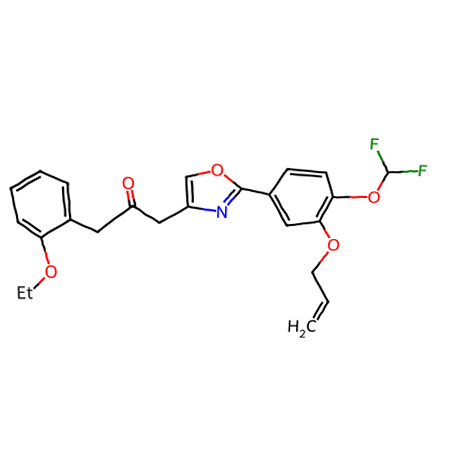 C=CCOc1cc(-c2nc(CC(=O)Cc3ccccc3OCC)co2)ccc1OC(F)F